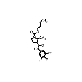 CCCCOC(=O)N1CC[C@H](C(=O)Nc2cc(F)c(F)c(Br)c2)[C@@H]1C